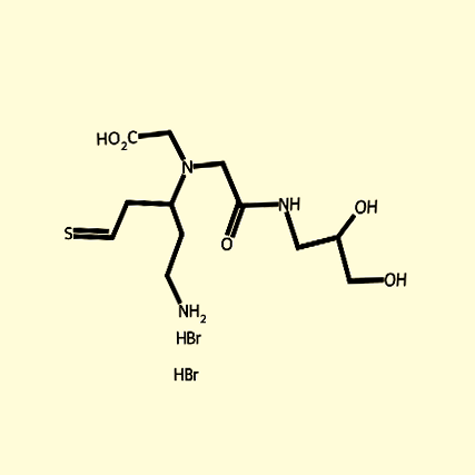 Br.Br.NCCC(CC=S)N(CC(=O)O)CC(=O)NCC(O)CO